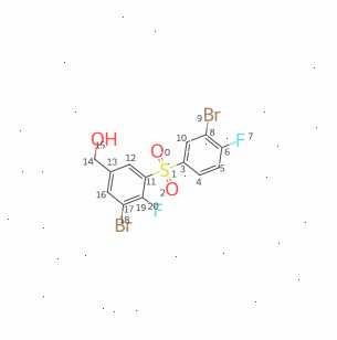 O=S(=O)(c1ccc(F)c(Br)c1)c1cc(CO)cc(Br)c1F